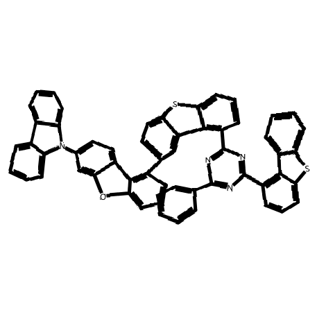 c1ccc(-c2nc(-c3cccc4sc5ccccc5c34)nc(-c3cccc4sc5ccc(-c6cccc7oc8cc(-n9c%10ccccc%10c%10ccccc%109)ccc8c67)cc5c34)n2)cc1